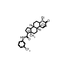 CCN1C(=O)C=C[C@@]2(C)C1CC[C@@H]1[C@H]2CC[C@]2(C)C(C(=O)Nc3cccc(C(F)(F)F)c3)CC[C@@H]12